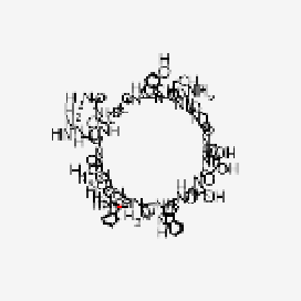 CCCC[C@H]1C(=O)N[C@@H](CC(N)=O)C(=O)N2CCC[C@H]2C(=O)N[C@@H](CO)C(=O)N[C@@H](CCO)C(=O)N2C[C@H](O)C[C@H]2C(=O)N[C@@H](Cc2c[nH]c3ccccc23)C(=O)N[C@@H](CN)C(=O)N[C@@H](Cc2c[nH]c3ccccc23)C(=O)N(C)[C@@H](C)C(=O)N(C)[C@@H](C)C(=O)N[C@@H](CCCNC(=N)N)C(=O)NC(C(=O)NCC(N)=O)CSCC(=O)N[C@@H](Cc2ccc(O)cc2)C(=O)N1C